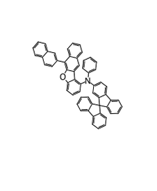 c1ccc(N(c2ccc3c(c2)C2(c4ccccc4-c4ccccc42)c2ccccc2-3)c2cccc3oc4c(-c5ccc6ccccc6c5)c5ccccc5cc4c23)cc1